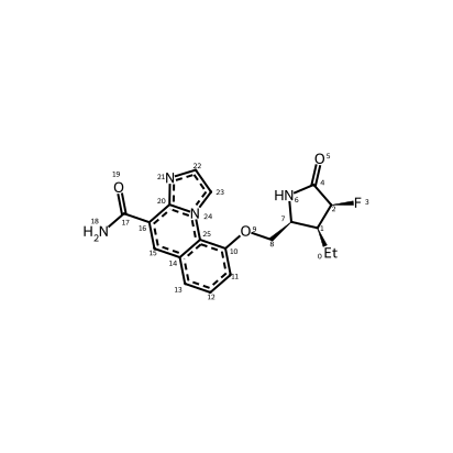 CC[C@@H]1[C@H](F)C(=O)N[C@@H]1COc1cccc2cc(C(N)=O)c3nccn3c12